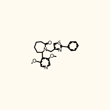 COc1cncc(OC)c1C1CCCCC(=O)N1Cc1csc(-c2ccccc2)n1